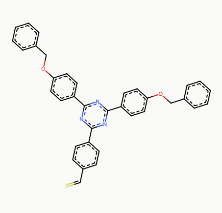 S=Cc1ccc(-c2nc(-c3ccc(OCc4ccccc4)cc3)nc(-c3ccc(OCc4ccccc4)cc3)n2)cc1